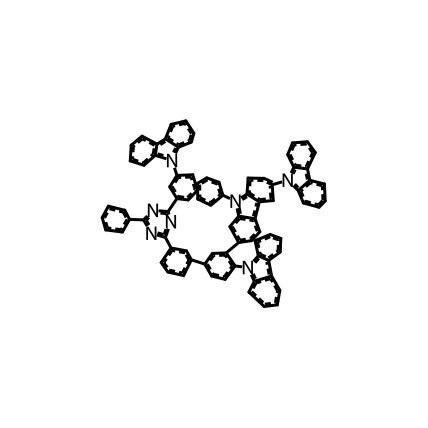 c1ccc(-c2nc(-c3cccc(-c4ccc(-n5c6ccccc6c6ccccc65)c(-c5ccc6c7cc(-n8c9ccccc9c9ccccc98)ccc7n(-c7ccccc7)c6c5)c4)c3)nc(-c3cccc(-n4c5ccccc5c5ccccc54)c3)n2)cc1